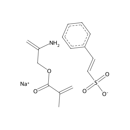 C=C(N)COC(=O)C(=C)C.O=S(=O)([O-])C=Cc1ccccc1.[Na+]